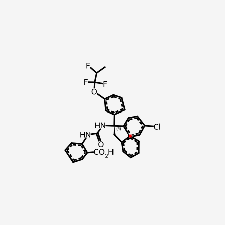 CC(F)C(F)(F)Oc1cccc([C@@](Cc2ccccc2)(NC(=O)Nc2ccccc2C(=O)O)c2ccc(Cl)cn2)c1